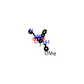 COc1ccc(CCNc2c(F)cc3c(=O)c(C(=O)NCCC4CCCN4C)cn4c3c2Oc2cc3ccccc3cc2-4)cc1